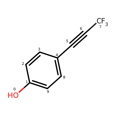 Oc1ccc(C#CC(F)(F)F)cc1